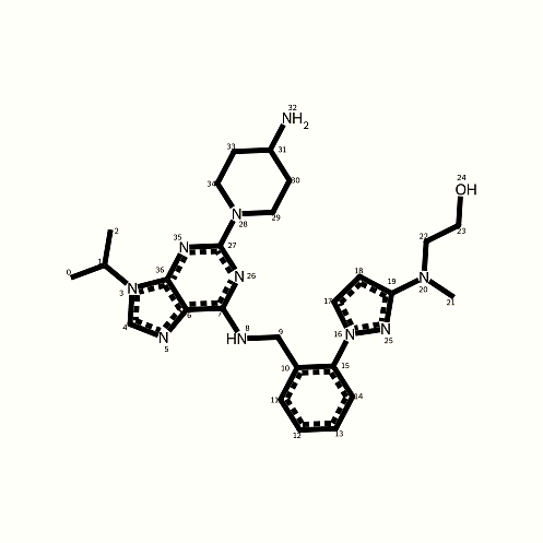 CC(C)n1cnc2c(NCc3ccccc3-n3ccc(N(C)CCO)n3)nc(N3CCC(N)CC3)nc21